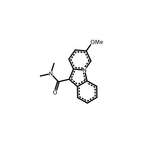 COc1ccc2c(C(=O)N(C)C)c3ccccc3n2c1